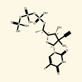 C#CC1(N)[C@@H](O)[C@@H]([C@H](C)OP(=O)(O)OP(=O)(O)OP(=O)(O)O)O[C@H]1n1cc(F)c(=O)[nH]c1=O